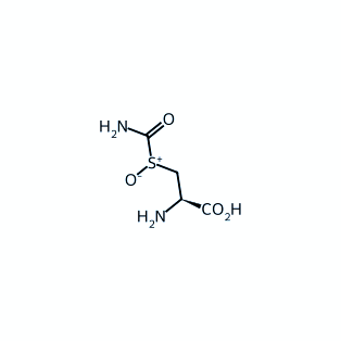 NC(=O)[S+]([O-])C[C@H](N)C(=O)O